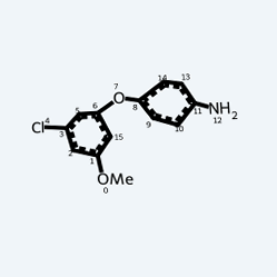 COc1cc(Cl)cc(Oc2ccc(N)cc2)c1